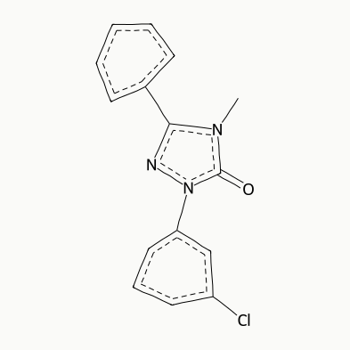 Cn1c(-c2ccccc2)nn(-c2cccc(Cl)c2)c1=O